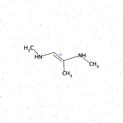 CN/C=C(\C)NC